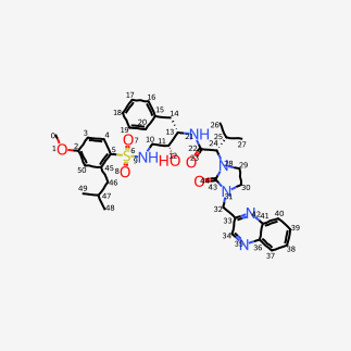 COc1ccc(S(=O)(=O)NC[C@@H](O)[C@H](Cc2ccccc2)NC(=O)[C@H](C(C)C)N2CCN(Cc3cnc4ccccc4n3)C2=O)c(CC(C)C)c1